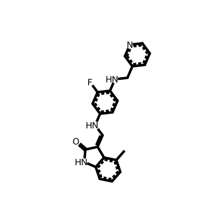 Cc1cccc2c1C(=CNc1ccc(NCc3cccnc3)c(F)c1)C(=O)N2